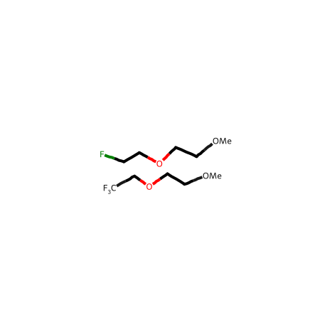 COCCOCC(F)(F)F.COCCOCCF